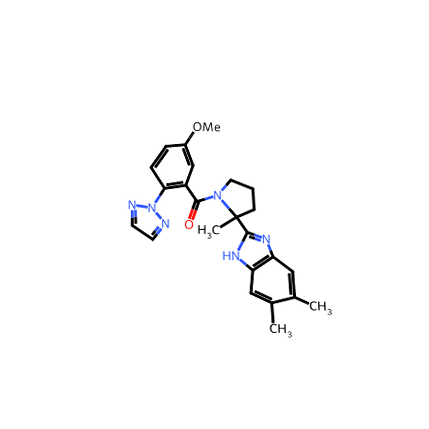 COc1ccc(-n2nccn2)c(C(=O)N2CCCC2(C)c2nc3cc(C)c(C)cc3[nH]2)c1